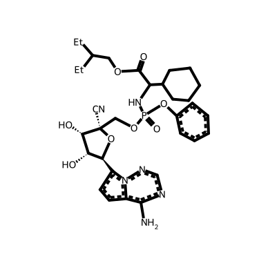 CCC(CC)COC(=O)C(NP(=O)(OC[C@@]1(C#N)O[C@@H](c2ccc3c(N)ncnn23)[C@H](O)[C@@H]1O)Oc1ccccc1)C1CCCCC1